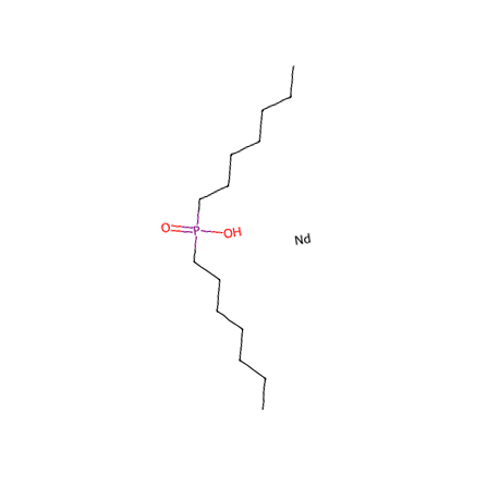 CCCCCCCP(=O)(O)CCCCCCC.[Nd]